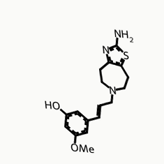 COc1cc(O)cc(C=CCN2CCc3nc(N)sc3CC2)c1